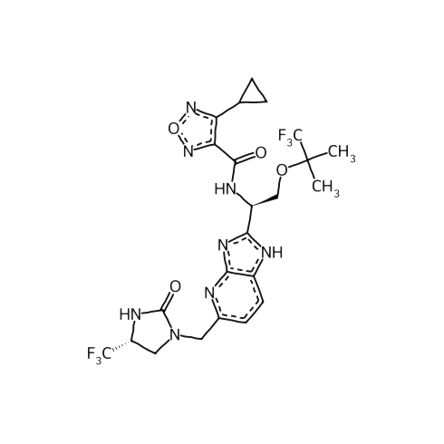 CC(C)(OC[C@H](NC(=O)c1nonc1C1CC1)c1nc2nc(CN3C[C@H](C(F)(F)F)NC3=O)ccc2[nH]1)C(F)(F)F